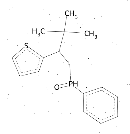 CC(C)(C)C(C[PH](=O)c1ccccc1)c1cccs1